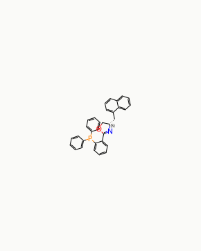 c1ccc(P(c2ccccc2)c2ccccc2C2=N[C@@H](Cc3cccc4ccccc34)CO2)cc1